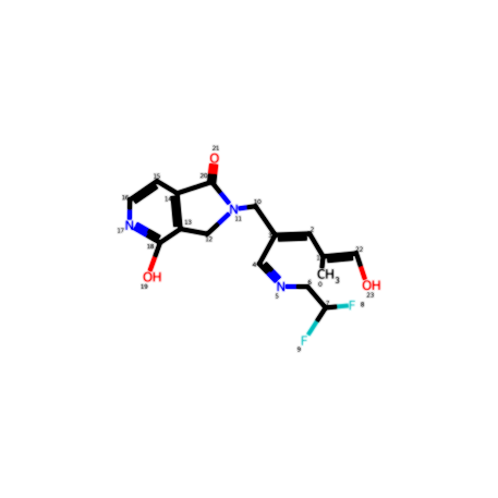 CC(/C=C(\C=N/CC(F)F)CN1Cc2c(ccnc2O)C1=O)=C\O